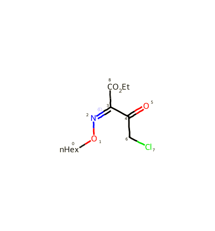 CCCCCCO/N=C(\C(=O)CCl)C(=O)OCC